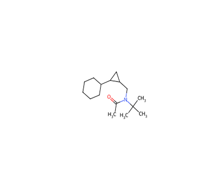 CC(=O)N(CC1CC1C1CCCCC1)C(C)(C)C